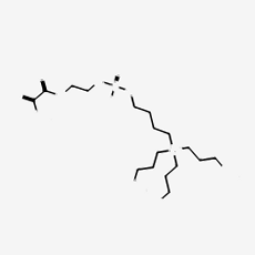 C=C(C)C(=O)OCCOP(=O)([O-])OCCCC[N+](CCCC)(CCCC)CCCC